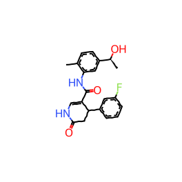 Cc1ccc([C@H](C)O)cc1NC(=O)C1=CNC(=O)CC1c1cccc(F)c1